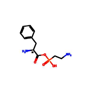 NCCP(=O)(O)OC(=O)[C@@H](N)Cc1ccccc1